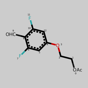 CC(=O)OCCOc1cc(F)c(C=O)c(F)c1